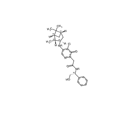 C[C@@H]1[C@H]2C[C@@H](C[C@H]1Nc1cnn(CC(=O)N[C@@H](CO)c3ccccc3)c(=O)c1Cl)C2(C)C